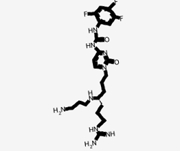 N=C(N)NCCC[C@@H](CCCn1ccc(NC(=O)Nc2cc(F)c(F)cc2F)nc1=O)NCCCN